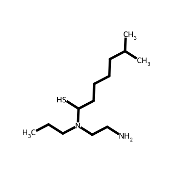 CCCN(CCN)C(S)CCCCC(C)C